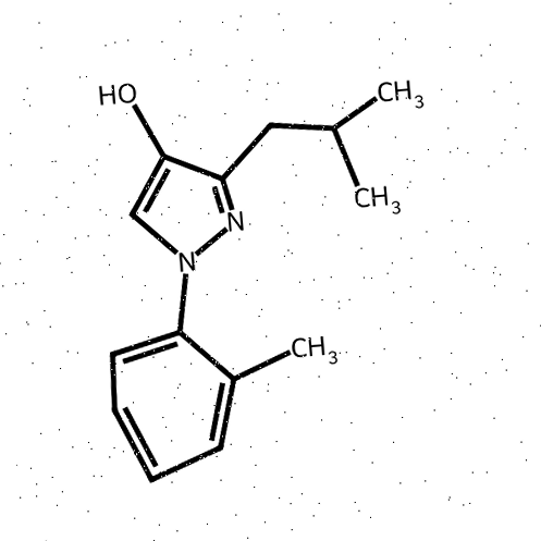 Cc1ccccc1-n1cc(O)c(CC(C)C)n1